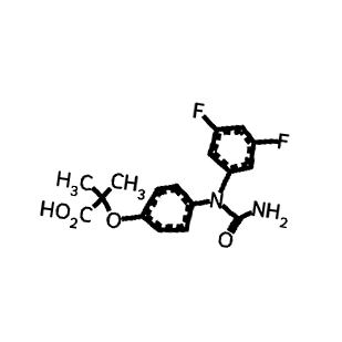 CC(C)(Oc1ccc(N(C(N)=O)c2cc(F)cc(F)c2)cc1)C(=O)O